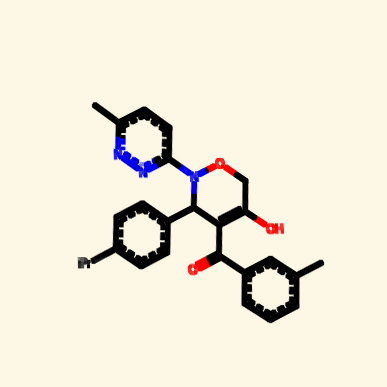 Cc1cccc(C(=O)C2=C(O)CON(c3ccc(C)nn3)C2c2ccc(C(C)C)cc2)c1